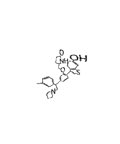 Cc1cccc(C(CN2CCCC2)c2ccc(-c3csc4cc(O)ccc34)c(OCC3CCC(=O)N3)c2)c1